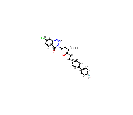 O=C(O)[C@@H](CCn1nnc2cc(Cl)ccc2c1=O)[C@H](O)CCc1ccc(-c2ccc(F)cc2)cc1